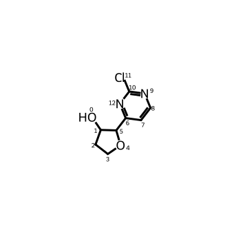 OC1CCOC1c1ccnc(Cl)n1